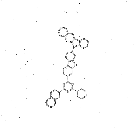 C1=CCC(c2nc(C3=Cc4oc5cc(-n6c7ccccc7c7cc8ccccc8cc76)ccc5c4CC3)nc(-c3ccc4ccccc4c3)n2)C=C1